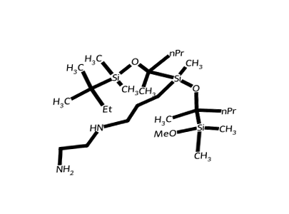 CCCC(C)(O[Si](C)(CCCNCCN)C(C)(CCC)O[Si](C)(C)C(C)(C)CC)[Si](C)(C)OC